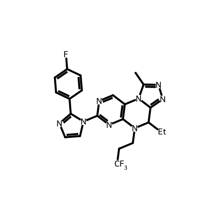 CCC1c2nnc(C)n2-c2cnc(-n3ccnc3-c3ccc(F)cc3)nc2N1CCC(F)(F)F